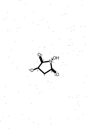 [O]C1CC(=O)N(O)C1=O